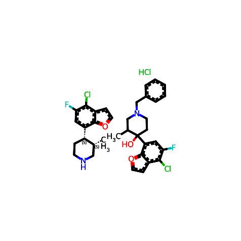 CC1CN(Cc2ccccc2)CCC1(O)c1cc(F)c(Cl)c2ccoc12.C[C@@H]1CNCC[C@@H]1c1cc(F)c(Cl)c2ccoc12.Cl